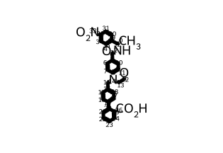 CC(NC(=O)c1ccc2c(c1)OCCN2Cc1ccc(-c2ccccc2C(=O)O)cc1)c1ccc([N+](=O)[O-])cc1